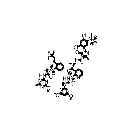 COc1cc(OC)nc(NC(=O)NS(=O)(=O)c2ncccc2C(=O)N(C)C)n1.COc1nc(C)nc(NC(=O)NS(=O)(=O)c2ccccc2CCC(F)(F)F)n1.Cc1nn(-c2cc(NS(C)(=O)=O)c(Cl)cc2Cl)c(=O)n1C(F)F